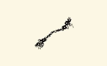 Cn1c2ccncc2c2ccc(-c3cnc(OCCOCCOCCOCCOCCOc4ccc5c(c4)C(=O)N(C4CCC(=O)NC4=O)C5=O)cc3Cl)cc21